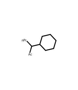 CCCC([C]1CCCCC1)C(C)=O